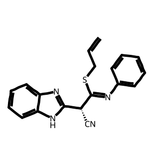 C=CCSC(=Nc1ccccc1)[C@H](C#N)c1nc2ccccc2[nH]1